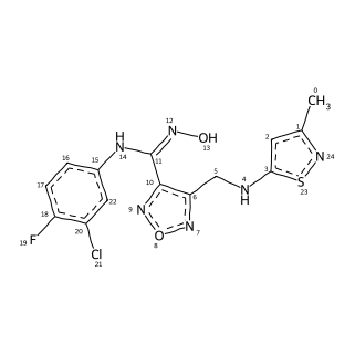 Cc1cc(NCc2nonc2/C(=N\O)Nc2ccc(F)c(Cl)c2)sn1